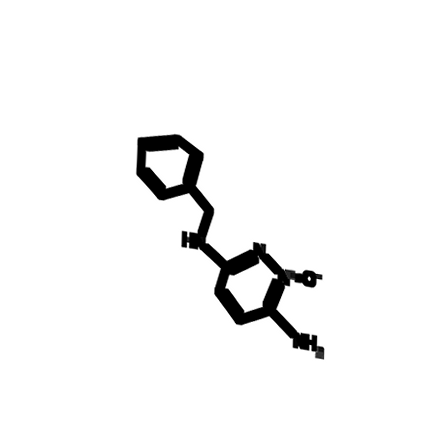 Nc1ccc(NCc2ccccc2)n[n+]1[O-]